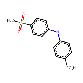 CS(=O)(=O)c1ccc(Nc2ccc(C(=O)O)cc2)cc1